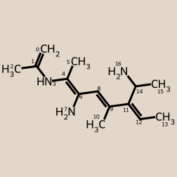 C=C(C)N/C(C)=C(N)/C=C(C)/C(=C/C)C(C)N